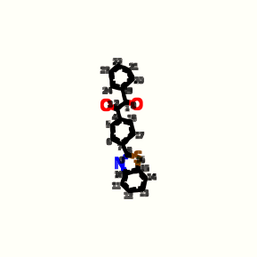 O=C(C(=O)c1ccc(-c2nc3ccccc3s2)cc1)c1ccccc1